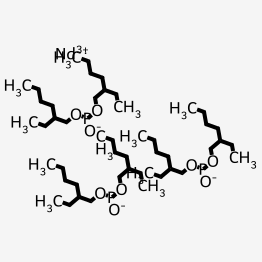 CCCCC(CC)COP([O-])OCC(CC)CCCC.CCCCC(CC)COP([O-])OCC(CC)CCCC.CCCCC(CC)COP([O-])OCC(CC)CCCC.[Nd+3]